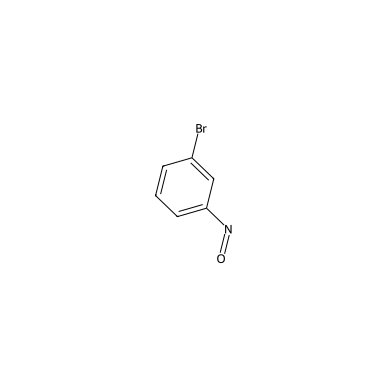 O=Nc1cccc(Br)c1